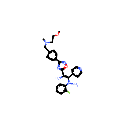 COCCN(C)Cc1ccc(-c2noc(/C(N)=C(\c3ccncc3)N(N)c3ccccc3F)n2)cc1